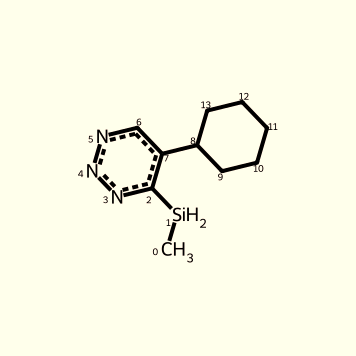 C[SiH2]c1nnncc1C1CCCCC1